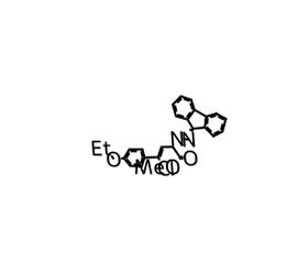 CCOc1ccc(C(Cl)=CC(=NN=C2c3ccccc3-c3ccccc32)C(=O)OC)cc1